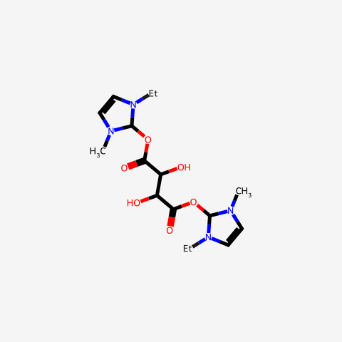 CCN1C=CN(C)C1OC(=O)C(O)C(O)C(=O)OC1N(C)C=CN1CC